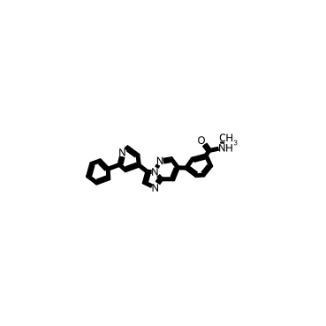 CNC(=O)c1cccc(-c2cnn3c(-c4ccnc(-c5ccccc5)c4)cnc3c2)c1